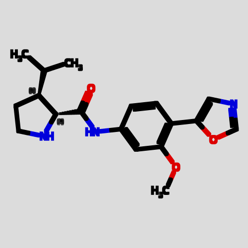 COc1cc(NC(=O)[C@@H]2NCC[C@H]2C(C)C)ccc1-c1cnco1